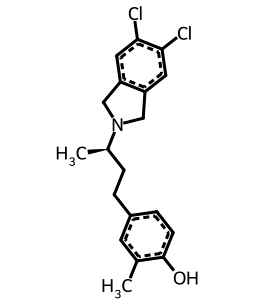 Cc1cc(CC[C@@H](C)N2Cc3cc(Cl)c(Cl)cc3C2)ccc1O